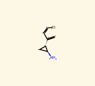 C=C(/C=C\CC)[C@H]1C[C@@H]1N